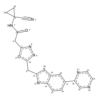 N#CC1(NC(=O)Cc2nnc(Cc3nc4ccc(-c5cnccn5)cc4s3)o2)CC1